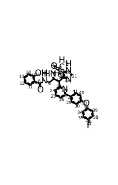 CS(=O)(=O)NC(CNC(=O)c1ccccc1O)C(c1c[nH]cn1)c1cccc(-c2ccc(Oc3ccc(F)cc3)cc2)n1